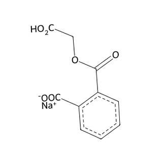 O=C(O)COC(=O)c1ccccc1C(=O)[O-].[Na+]